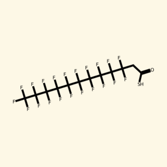 O=C(S)CC(F)(F)C(F)(F)C(F)(F)C(F)(F)C(F)(F)C(F)(F)C(F)(F)C(F)(F)C(F)(F)C(F)(F)F